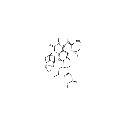 CC[C@H](C)CC(=O)N(C)[C@@H](CC(C)C)C(=O)N(C)[C@@H](CC(C)C)C(=O)N[C@@H](CC1C2=C3CC(=C1CCC2)C3)C(=O)N(C)C(C(=O)N(C)[C@@H](C)C(N)=O)C(C)C